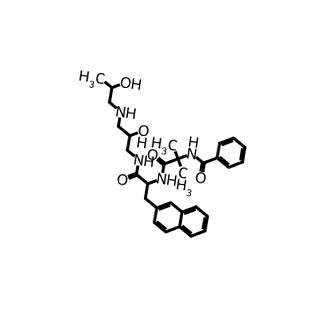 CC(O)CNCC(O)CNC(=O)C(Cc1ccc2ccccc2c1)NC(=O)C(C)(C)NC(=O)c1ccccc1